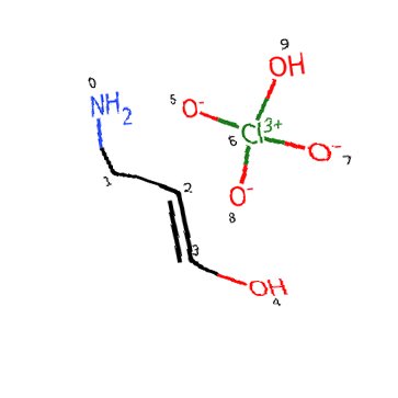 NCC=CO.[O-][Cl+3]([O-])([O-])O